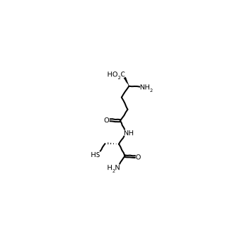 NC(=O)[C@H](CS)NC(=O)CC[C@H](N)C(=O)O